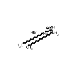 Br.CCCCCCCCCCCCCCN.CCCCCCCCCCCCNCCS(=O)(=O)O